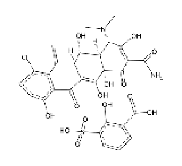 C=C1c2c(Cl)ccc(O)c2C(=O)C2=C(O)[C@]3(O)C(=O)C(C(N)=O)=C(O)[C@@H](N(C)C)[C@@H]3[C@@H](O)[C@H]12.O=C(O)c1cccc(S(=O)(=O)O)c1O